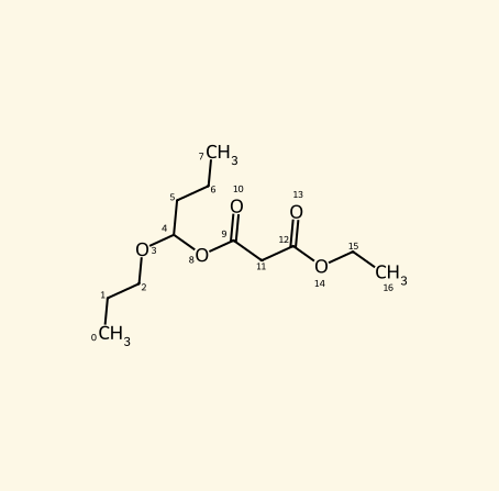 CCCOC(CCC)OC(=O)CC(=O)OCC